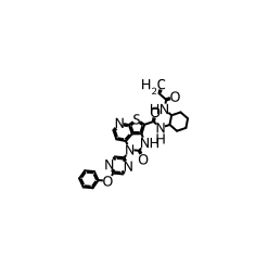 C=CC(=O)NC1CCCCC1NC(=O)c1sc2nccc3c2c1NC(=O)N3c1cnc(Oc2ccccc2)cn1